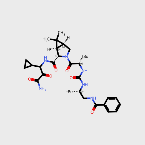 CC(C)(C)[C@H](NC(=O)N[C@H](CNC(=O)c1ccccc1)C(C)(C)C)C(=O)N1C[C@H]2[C@@H]([C@H]1C(=O)NC(C(=O)C(N)=O)C1CC1)C2(C)C